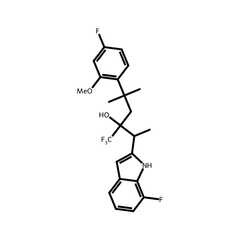 COc1cc(F)ccc1C(C)(C)CC(O)(C(C)c1cc2cccc(F)c2[nH]1)C(F)(F)F